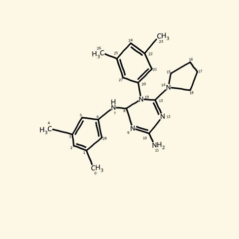 Cc1cc(C)cc(NC2N=C(N)N=C(N3CCCC3)N2c2cc(C)cc(C)c2)c1